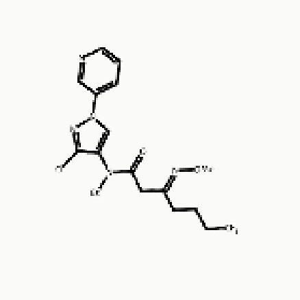 CCN(C(=O)CC(CCCC(F)(F)F)=NOC)c1cn(-c2cccnc2)nc1Cl